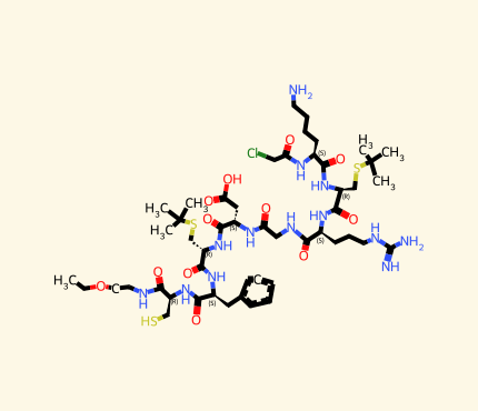 CCOCCNC(=O)[C@H](CS)NC(=O)[C@H](Cc1ccccc1)NC(=O)[C@H](CSC(C)(C)C)NC(=O)[C@H](CC(=O)O)NC(=O)CNC(=O)[C@H](CCCNC(=N)N)NC(=O)[C@H](CSC(C)(C)C)NC(=O)[C@H](CCCCN)NC(=O)CCl